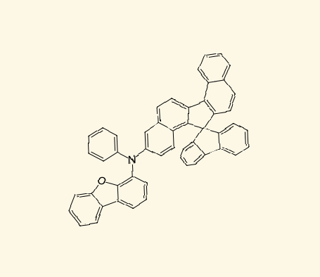 c1ccc(N(c2ccc3c4c(ccc3c2)-c2c(ccc3ccccc23)C42c3ccccc3-c3ccccc32)c2cccc3c2oc2ccccc23)cc1